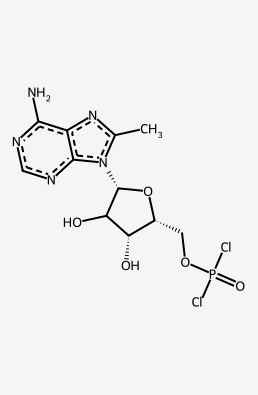 Cc1nc2c(N)ncnc2n1[C@@H]1O[C@H](COP(=O)(Cl)Cl)[C@H](O)C1O